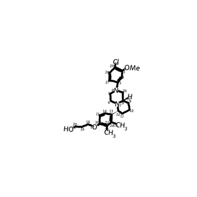 COc1cc(N2CCN3[C@@H](CCC[C@@H]3c3ccc(OCCCO)c(C)c3C)C2)ccc1Cl